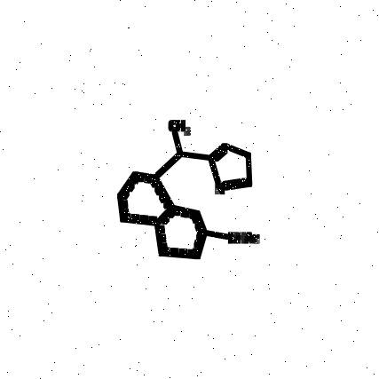 CC(=O)Nc1ccc2cccc(C(C)C3=CCC=N3)c2c1